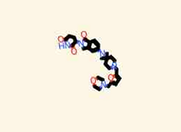 O=C1CCC(N2Cc3cc(N4CC5(CCN(Cc6ccc(CN7CCOCC7)o6)CC5)C4)ccc3C2=O)C(=O)N1